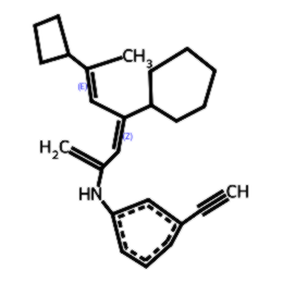 C#Cc1cccc(NC(=C)/C=C(\C=C(/C)C2CCC2)C2CCCCC2)c1